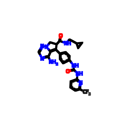 NC1=NC=NN2CC(C(=O)NCC3CC3)C(c3ccc(NC(=O)Nc4cccc(C(F)(F)F)n4)cc3)=C12